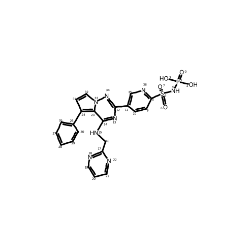 O=P(O)(O)NS(=O)(=O)c1ccc(-c2nc(NCc3ncccn3)c3c(-c4ccccc4)ccn3n2)cn1